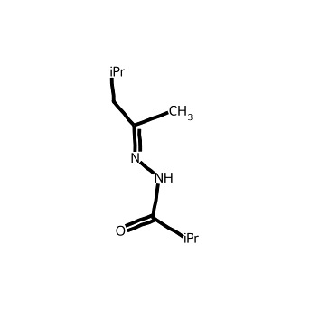 C/C(CC(C)C)=N\NC(=O)C(C)C